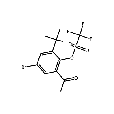 CC(=O)c1cc(Br)cc(C(C)(C)C)c1OS(=O)(=O)C(F)(F)F